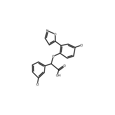 O=C(O)C(Oc1ccc(Cl)cc1-c1ccno1)c1cccc(Cl)c1